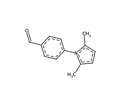 Cc1ccc(C)n1-c1ccc(C=O)cc1